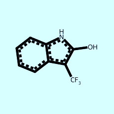 Oc1[nH]c2ccccc2c1C(F)(F)F